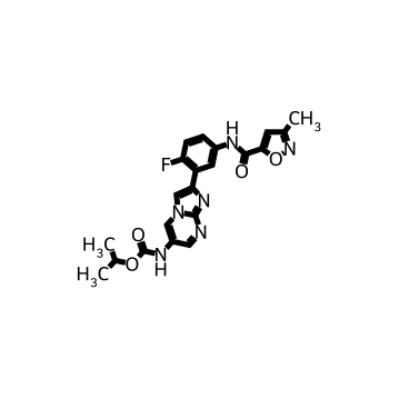 Cc1cc(C(=O)Nc2ccc(F)c(-c3cn4cc(NC(=O)OC(C)C)cnc4n3)c2)on1